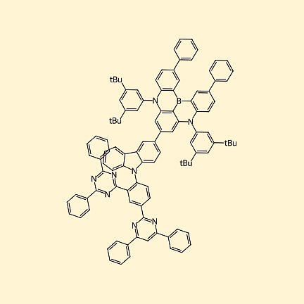 CC(C)(C)c1cc(N2c3ccc(-c4ccccc4)cc3B3c4cc(-c5ccccc5)ccc4N(c4cc(C(C)(C)C)cc(C(C)(C)C)c4)c4cc(-c5ccc6c(c5)c5ccccc5n6-c5ccc(-c6nc(-c7ccccc7)cc(-c7ccccc7)n6)cc5-c5nc(-c6ccccc6)nc(-c6ccccc6)n5)cc2c43)cc(C(C)(C)C)c1